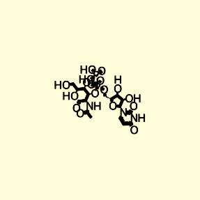 CC(=O)N[C@@H](C=O)[C@@H](OP(=O)(OC[C@H]1O[C@@H](n2ccc(=O)[nH]c2=O)[C@H](O)[C@@H]1O)OP(=O)(O)O)[C@@H](O)[C@H](O)CO